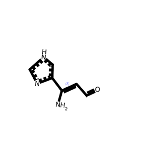 N/C(=C\[C]=O)c1c[nH]cn1